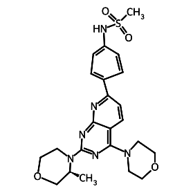 C[C@H]1COCCN1c1nc(N2CCOCC2)c2ccc(-c3ccc(NS(C)(=O)=O)cc3)nc2n1